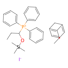 CCC(O[Si](C)(C)C)[P+](c1ccccc1)(c1ccccc1)c1ccccc1.CCc1c2cccc1C2.[I-]